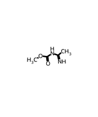 COC(=O)NC(C)=N